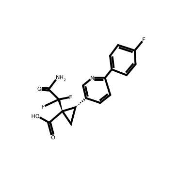 NC(=O)C(F)(F)[C@]1(C(=O)O)C[C@H]1c1ccc(-c2ccc(F)cc2)nc1